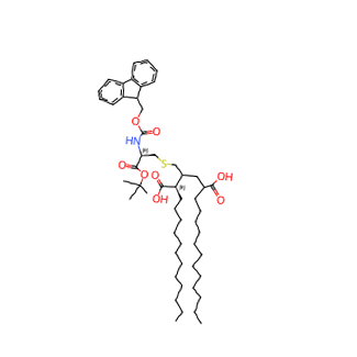 CCCCCCCCCCCCC(CC(CSC[C@H](NC(=O)OCC1c2ccccc2-c2ccccc21)C(=O)OC(C)(C)C)[C@@H](CCCCCCCCCCCC)C(=O)O)C(=O)O